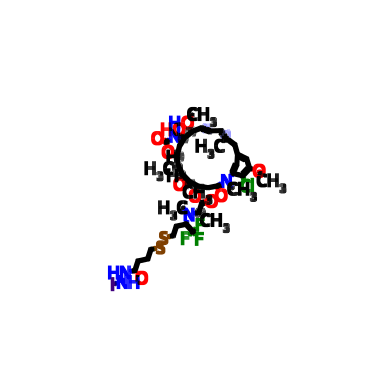 COc1cc2cc(c1Cl)N(C)C(=O)C[C@H](OC(=O)[C@H](C)N(C)C(CCSSCCCC(=O)NNI)C(F)(F)F)[C@]1(C)O[C@H]1[C@H](C)[C@@H]1C[C@@](O)(NC(=O)O1)[C@H](OC)/C=C/C=C(\C)C2